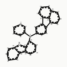 c1cncc(N(c2ccc3c(c2)-c2cccc4cccc-3c24)c2cccc3c2oc2ccccc23)c1